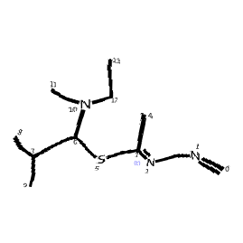 C=N/N=C(\C)SC(C(C)C)N(C)CC